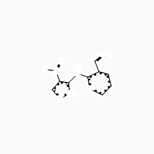 N=Cc1cccnc1Nc1[nH]ncc1[N+](=O)[O-]